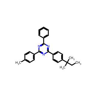 CCC(C)(C)c1ccc(-c2nc(C3=CC=C=C=C3)nc(-c3ccc(C)cc3)n2)cc1